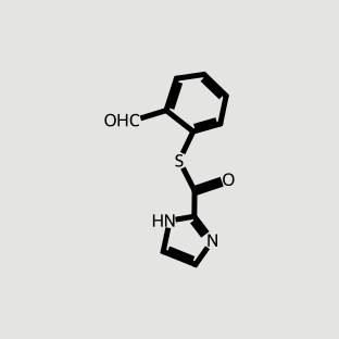 O=Cc1ccccc1SC(=O)c1ncc[nH]1